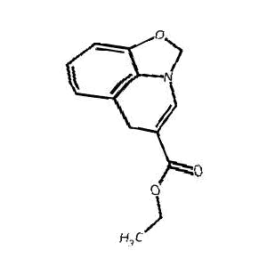 CCOC(=O)C1=CN2COc3cccc(c32)C1